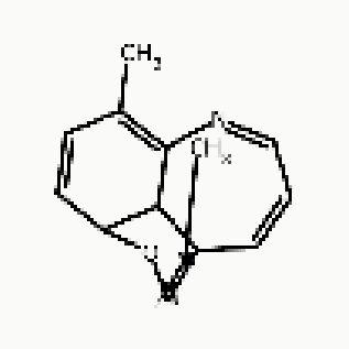 CC1=CCC=C2OC3C=CC(C)=C4N=CC=CC12C43